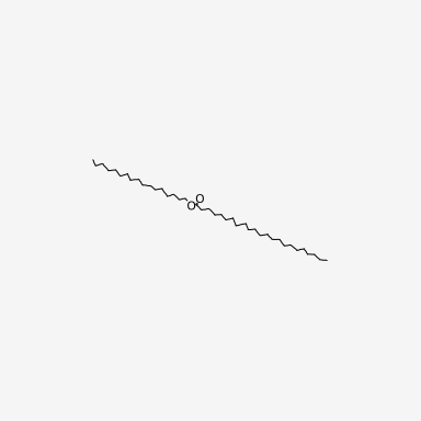 CCCCCCCCCCCCCCCCCCCCCCC(=O)OCCCCCCCCCCCCCCCCC